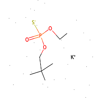 CCOP(=O)([S-])OCC(C)(C)C.[K+]